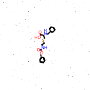 O=C(NCCSCC(NCc1ccccc1)C(=O)O)OCc1ccccc1